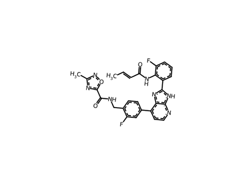 C/C=C/C(=O)Nc1c(F)cccc1-c1nc2c(-c3ccc(CNC(=O)c4nc(C)no4)c(F)c3)ccnc2[nH]1